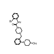 O=C(Nc1ccccc1Br)N1CCN(Cc2ccccc2N2CCC(O)CC2)CC1